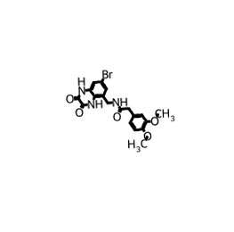 COc1ccc(CC(=O)NCc2cc(Br)cc3[nH]c(=O)c(=O)[nH]c23)cc1OC